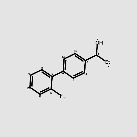 CCC(O)c1ccc(-c2ccccc2F)cc1